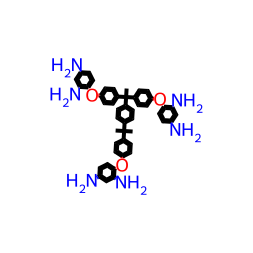 CC(C)(c1ccc(Oc2ccc(N)cc2N)cc1)c1ccc(C(C)(c2ccc(Oc3ccc(N)cc3N)cc2)c2ccc(Oc3ccc(N)cc3N)cc2)cc1